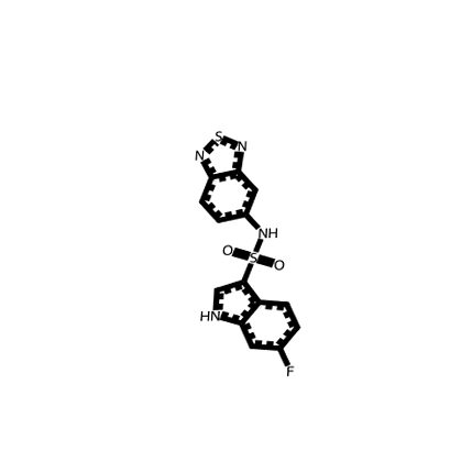 O=S(=O)(Nc1ccc2nsnc2c1)c1c[nH]c2cc(F)ccc12